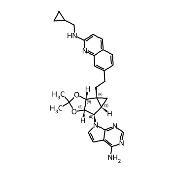 CC1(C)O[C@H]2[C@H](n3ccc4c(N)ncnc43)[C@H]3C[C@@]3(CCc3ccc4ccc(NCC5CC5)nc4c3)[C@H]2O1